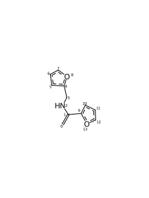 C=C(NCc1ccco1)c1ccco1